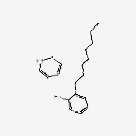 C1=CNSC=C1.CCCCCCCCc1ccccc1O